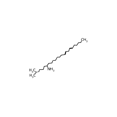 CCCCCC=CCC=CCCCCCCCC(N)CCCCC(C)C